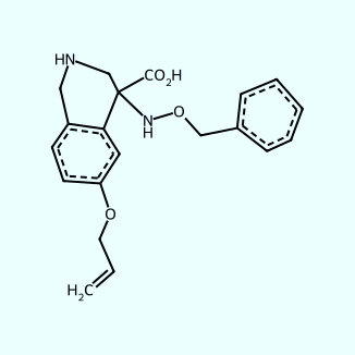 C=CCOc1ccc2c(c1)C(NOCc1ccccc1)(C(=O)O)CNC2